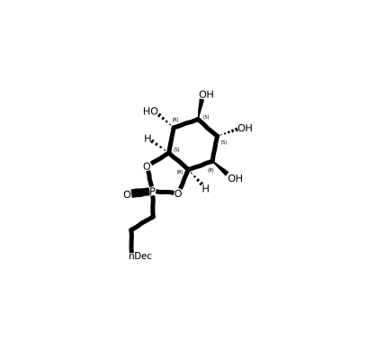 CCCCCCCCCCCCP1(=O)O[C@@H]2[C@H](O)[C@@H](O)[C@H](O)[C@@H](O)[C@@H]2O1